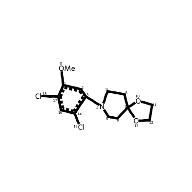 COc1cc(N2CCC3(CC2)OCCO3)c(Cl)cc1Cl